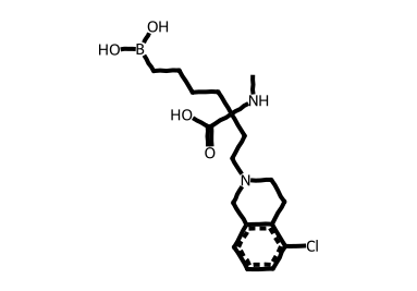 CNC(CCCCB(O)O)(CCN1CCc2c(Cl)cccc2C1)C(=O)O